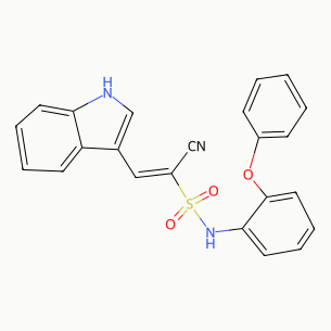 N#C/C(=C\c1c[nH]c2ccccc12)S(=O)(=O)Nc1ccccc1Oc1ccccc1